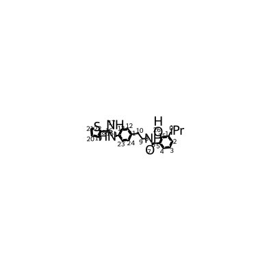 CC(C)c1cccc(C(=O)NCCc2ccc(NC(=N)c3cccs3)cc2)c1O